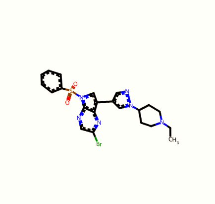 CCN1CCC(n2cc(-c3cn(S(=O)(=O)c4ccccc4)c4ncc(Br)nc34)cn2)CC1